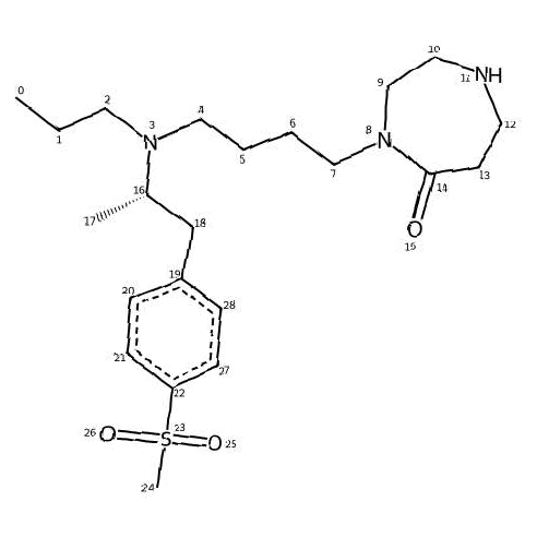 CCCN(CCCCN1CCNCCC1=O)[C@@H](C)Cc1ccc(S(C)(=O)=O)cc1